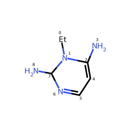 CCN1C(N)=CC=NC1N